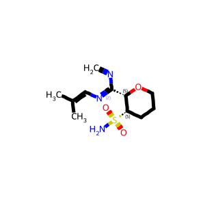 C=N/C(=N\C=C(C)C)[C@@H]1OCCC[C@@H]1S(N)(=O)=O